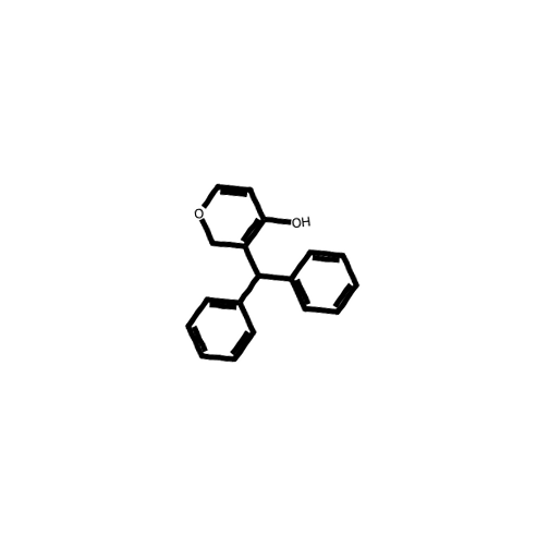 OC1=C(C(c2ccccc2)c2ccccc2)COC=C1